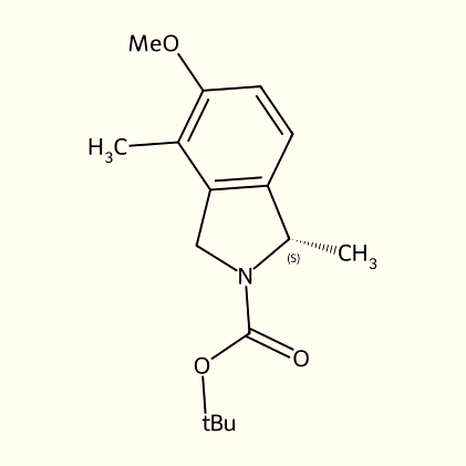 COc1ccc2c(c1C)CN(C(=O)OC(C)(C)C)[C@H]2C